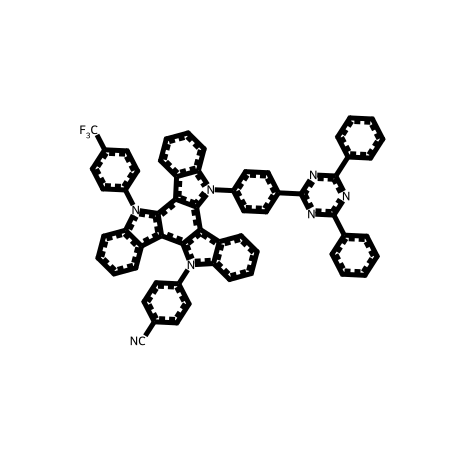 N#Cc1ccc(-n2c3ccccc3c3c2c2c4ccccc4n(-c4ccc(C(F)(F)F)cc4)c2c2c4ccccc4n(-c4ccc(-c5nc(-c6ccccc6)nc(-c6ccccc6)n5)cc4)c32)cc1